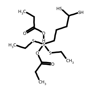 CCS[SH](CCCC(S)S)(OC(=O)CC)(OC(=O)CC)SCC